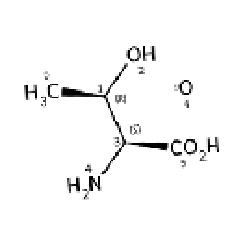 C[C@@H](O)[C@H](N)C(=O)O.[O]